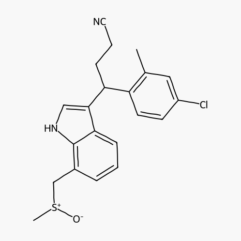 Cc1cc(Cl)ccc1C(CCC#N)c1c[nH]c2c(C[S+](C)[O-])cccc12